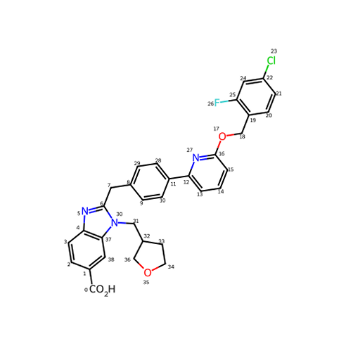 O=C(O)c1ccc2nc(Cc3ccc(-c4cccc(OCc5ccc(Cl)cc5F)n4)cc3)n(CC3CCOC3)c2c1